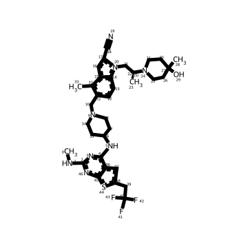 CNc1nc(NC2CCN(Cc3ccc4c(cc(C#N)n4C[C@H](C)N4CCC(C)(O)CC4)c3C)CC2)c2cc(CC(F)(F)F)sc2n1